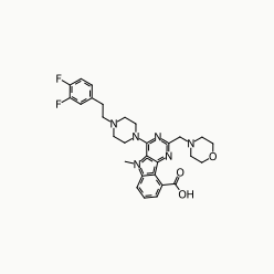 Cn1c2cccc(C(=O)O)c2c2nc(CN3CCOCC3)nc(N3CCN(CCc4ccc(F)c(F)c4)CC3)c21